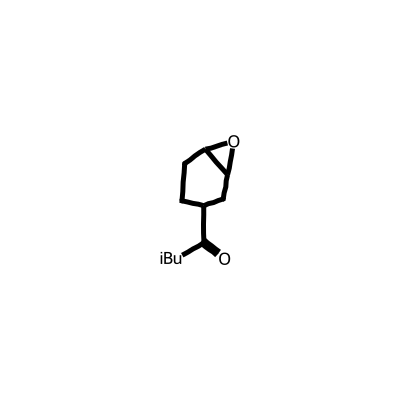 CCC(C)C(=O)C1CCC2OC2C1